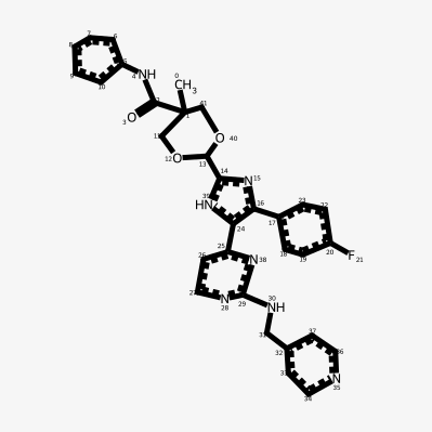 CC1(C(=O)Nc2ccccc2)COC(c2nc(-c3ccc(F)cc3)c(-c3ccnc(NCc4ccncc4)n3)[nH]2)OC1